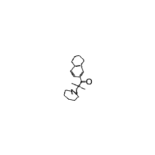 CC(C)(C(=O)c1ccc2c(c1)CCCC2)N1CCCCC1